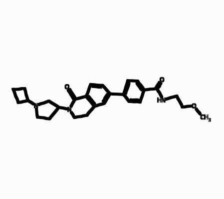 COCCNC(=O)c1ccc(-c2ccc3c(c2)CCN(C2CCN(C4CCC4)C2)C3=O)cc1